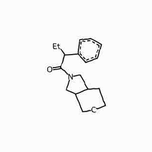 CCC(C(=O)N1CC2CCCCC2C1)c1ccccc1